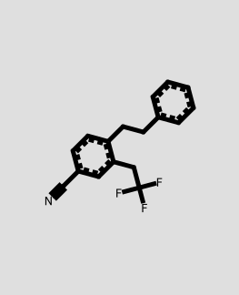 N#Cc1ccc(CCc2ccccc2)c(CC(F)(F)F)c1